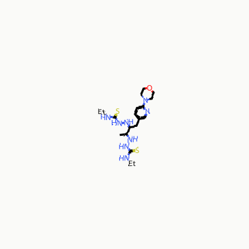 CCNC(=S)NNC(C)C(Cc1ccc(N2CCOCC2)nc1)NNC(=S)NCC